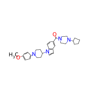 COc1ccc(N2CCC(n3ccc4cc(C(=O)N5CCN(C6CCCC6)CC5)ccc43)CC2)cc1